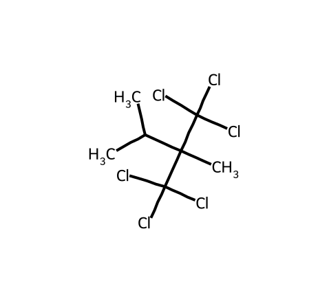 CC(C)C(C)(C(Cl)(Cl)Cl)C(Cl)(Cl)Cl